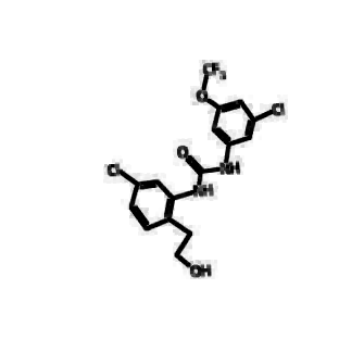 O=C(Nc1cc(Cl)cc(OC(F)(F)F)c1)Nc1cc(Cl)ccc1CCO